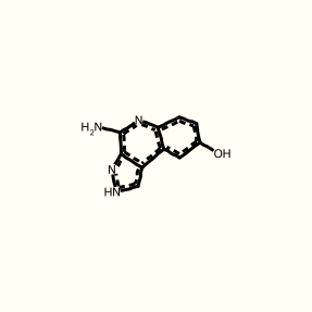 Nc1nc2ccc(O)cc2c2c[nH]nc12